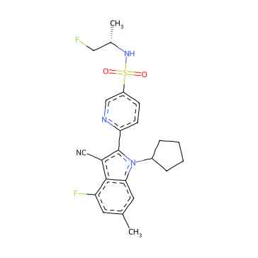 Cc1cc(F)c2c(C#N)c(-c3ccc(S(=O)(=O)N[C@@H](C)CF)cn3)n(C3CCCC3)c2c1